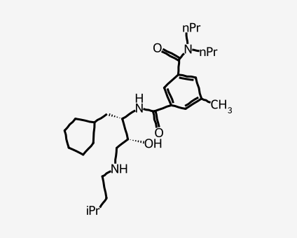 CCCN(CCC)C(=O)c1cc(C)cc(C(=O)N[C@@H](CC2CCCCC2)[C@H](O)CNCCC(C)C)c1